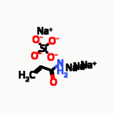 C=CC(N)=O.[Na+].[Na+].[Na+].[Na+].[O-][Si]([O-])([O-])[O-]